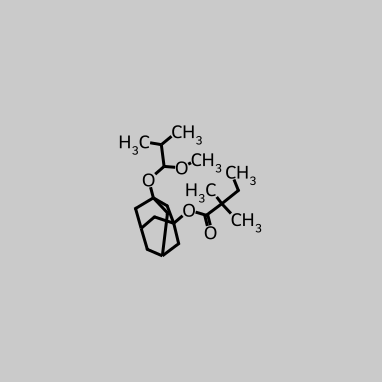 CCC(C)(C)C(=O)OC12CC3CC(C1)CC(OC(OC)C(C)C)(C3)C2